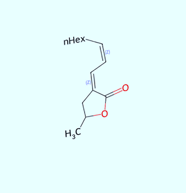 CCCCCC/C=C\C=C1\CC(C)OC1=O